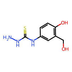 NNC(=S)Nc1ccc(O)c(CO)c1